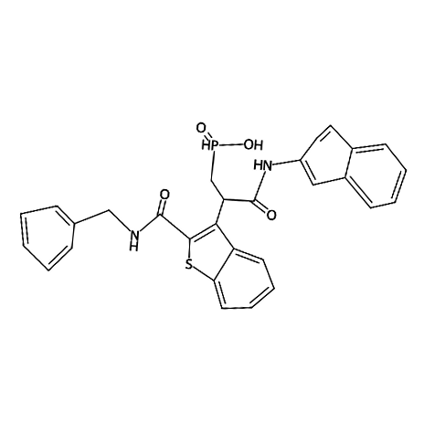 O=C(NCc1ccccc1)c1sc2ccccc2c1C(C[PH](=O)O)C(=O)Nc1ccc2ccccc2c1